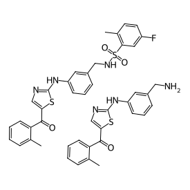 Cc1ccccc1C(=O)c1cnc(Nc2cccc(CN)c2)s1.Cc1ccccc1C(=O)c1cnc(Nc2cccc(CNS(=O)(=O)c3cc(F)ccc3C)c2)s1